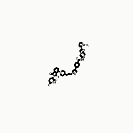 CN1CCC[C@@H]1c1cn2cc(NC(=O)c3ccc(-c4cnn(CCCC5CCN(c6cccc7c6C(=O)N(C6CCC(=O)NC6=O)C7=O)CC5)c4)cc3)ncc2n1